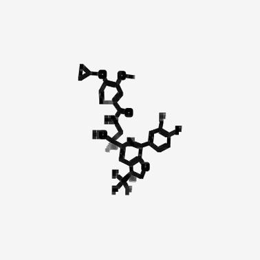 COc1cc(C(=O)NC[C@](C)(O)c2cc3c(c(-c4ccc(F)c(F)c4)n2)OC[C@H]3C(F)(F)F)ccc1OC1CC1